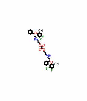 N#Cc1cc(F)c(Br)cc1O[C@H](CCNCCCOC(=O)C(=O)OCCCNCC[C@@H](Oc1cc(Br)c(F)cc1C#N)c1ccccc1)c1ccccc1